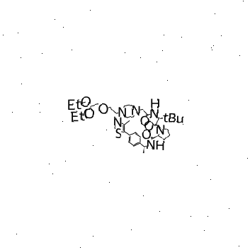 CCOC(COCCN1CCN(CC(=O)N[C@H](C(=O)N2CCC[C@H]2C(=O)N[C@@H](C)c2ccc(-c3scnc3C)cc2)C(C)(C)C)CC1)OCC